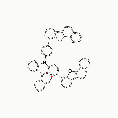 c1ccc(N(c2ccc(-c3cccc4c3oc3c5ccccc5ccc43)cc2)c2ccc(-c3cccc4c3oc3c5ccccc5ccc43)cc2)c(-c2cccc3ccccc23)c1